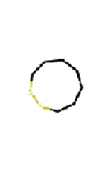 C1CCCSSCCC1